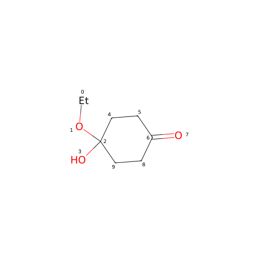 CCOC1(O)CCC(=O)CC1